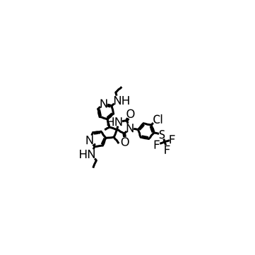 CCNc1cc(C(C)C2(C(C)c3ccnc(NCC)c3)NC(=O)N(c3ccc(SC(F)(F)F)c(Cl)c3)C2=O)ccn1